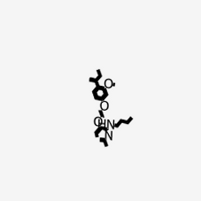 C=C(C)/N=C(NCCCC)\C(=C/C)OCCOc1ccc(C(=C)CC)c(OC)c1